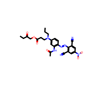 CCCN(CCC(=O)OCC(=O)CC)c1ccc(N=Nc2c(C#N)cc([N+](=O)[O-])cc2C#N)c(NC(C)=O)c1